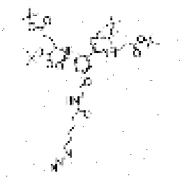 CC(C)(C)OC(=O)CCC(NC(=O)c1cc(OCCNC(=O)CCCCCN=[N+]=[N-])cc(C(=O)NC(CCC(=O)OC(C)(C)C)C(=O)OC(C)(C)C)c1)C(=O)OC(C)(C)C